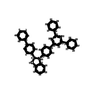 c1ccc(-c2ccc(B3Oc4ccccc4N3c3ccc(-c4cc(-c5ccccc5)nc(-c5ccccc5)n4)cc3)cc2)cc1